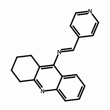 C(=Nc1c2c(nc3ccccc13)CCCC2)c1ccncc1